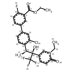 CCOC(=O)c1cc(-c2ccc([C@H](C)[C@](O)(c3ccc(=O)n(CC)c3)C(F)(F)F)c(Cl)c2)ccc1F